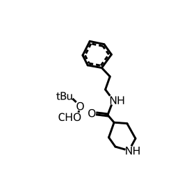 CC(C)(C)OC=O.O=C(NCCc1ccccc1)C1CCNCC1